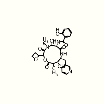 C[C@@H]1[C@H](NC(=O)c2ccccc2O)C(=O)N[C@@H](Cc2cccnc2)[C@@H](O)[C@@H](C)C(=O)OC(C2CCO2)C(=O)N1C